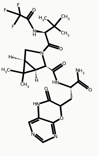 CC(C)(C)[C@H](NC(=O)C(F)(F)F)C(=O)N1C[C@H]2[C@@H]([C@H]1C(=O)N[C@@H](CC1Oc3ncncc3NC1=O)C(N)=O)C2(C)C